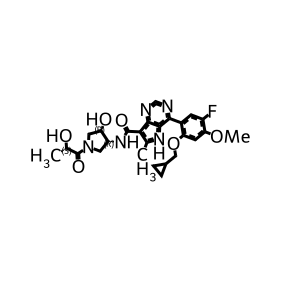 COc1cc(OCC2CC2)c(-c2ncnc3c(C(=O)N[C@@H]4CN(C(=O)[C@H](C)O)C[C@H]4O)c(C)[nH]c23)cc1F